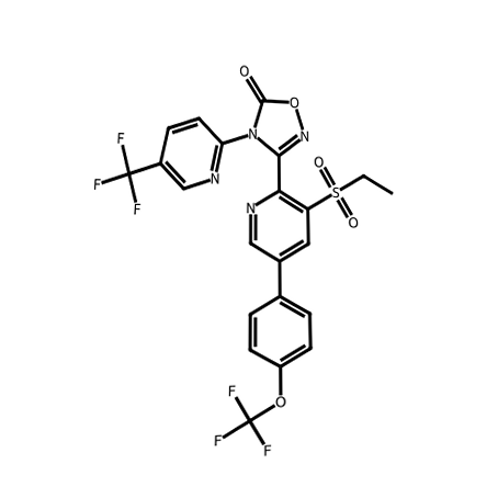 CCS(=O)(=O)c1cc(-c2ccc(OC(F)(F)F)cc2)cnc1-c1noc(=O)n1-c1ccc(C(F)(F)F)cn1